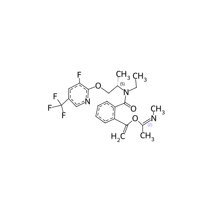 C=C(O/C(C)=N\C)c1ccccc1C(=O)N(CC)[C@@H](C)COc1ncc(C(F)(F)F)cc1F